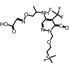 CC(CO/N=C/C(=O)O)NC1=C(C(F)(F)F)C(=C=O)N(COCC[Si](C)(C)C)N=C1